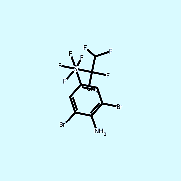 CC(F)(C(F)F)S(F)(F)(F)(F)c1cc(Br)c(N)c(Br)c1